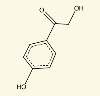 O=C(CO)c1ccc(O)cc1